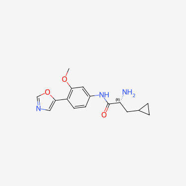 COc1cc(NC(=O)[C@H](N)CC2CC2)ccc1-c1cnco1